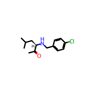 CC(=O)[C@@H](CC(C)C)NCc1ccc(Cl)cc1